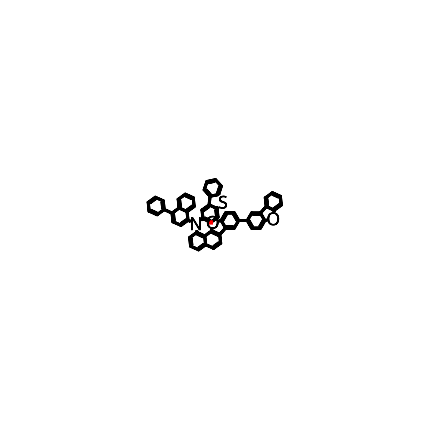 c1ccc(-c2ccc(N(c3ccc4sc5ccccc5c4c3)c3cccc4ccc5c6cc(-c7ccc8oc9ccccc9c8c7)ccc6oc5c34)c3ccccc23)cc1